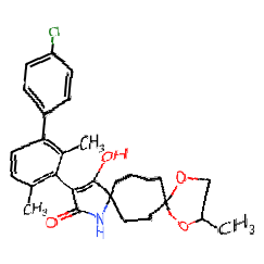 Cc1ccc(-c2ccc(Cl)cc2)c(C)c1C1=C(O)C2(CCC3(CC2)OCC(C)O3)NC1=O